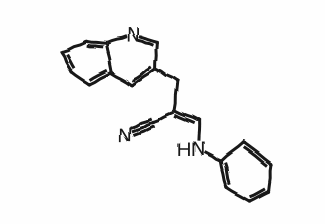 N#CC(=CNc1ccccc1)Cc1cnc2ccccc2c1